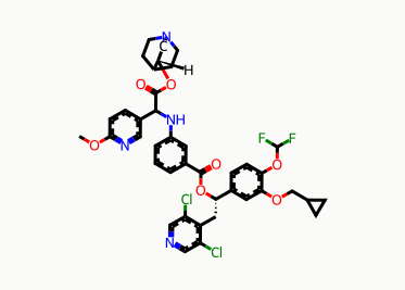 COc1ccc(C(Nc2cccc(C(=O)O[C@@H](Cc3c(Cl)cncc3Cl)c3ccc(OC(F)F)c(OCC4CC4)c3)c2)C(=O)O[C@H]2CN3CCC2CC3)cn1